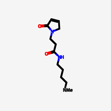 CNCCCCNC(=O)CCN1CC=CC1=O